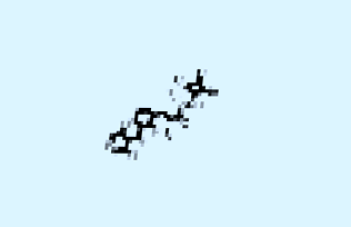 CC1(C)C(=O)C(Br)=C1NOC(=O)CCc1cccc(C(=O)c2c(Cl)cncc2Cl)c1N